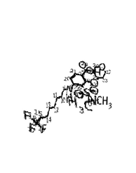 CN(C)S(=O)(=O)c1c(NCCCCCCCC(F)(F)F)ccc(C(=O)O)c1OC1CCOCC1